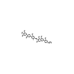 CCCc1ccc(-c2cc(F)c3c(F)c(C#Cc4cc(F)c(-c5ccc(-c6cc(F)c(F)c(F)c6)c(F)c5)cc4C)c(F)cc3c2)c(F)c1